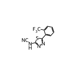 N#CNc1nnc(-c2ccccc2C(F)(F)F)s1